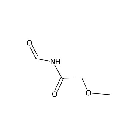 COCC(=O)NC=O